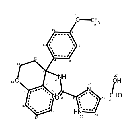 O=C(NC1(c2ccc(OC(F)(F)F)cc2)CCOc2cccnc21)c1ncc[nH]1.O=CO